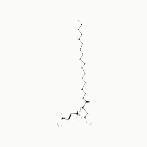 CCCCCCCCCCCCCCCCCC(=O)C(CC=O)OC(=O)C=CC(=O)O